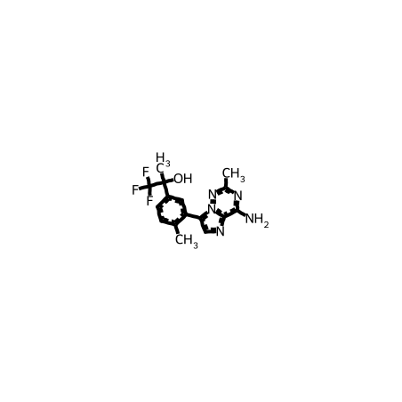 Cc1nc(N)c2ncc(-c3cc(C(C)(O)C(F)(F)F)ccc3C)n2n1